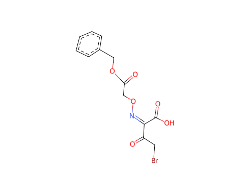 O=C(CON=C(C(=O)O)C(=O)CBr)OCc1ccccc1